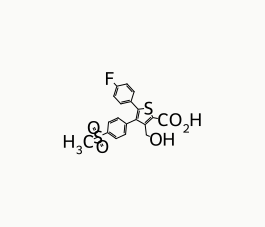 CS(=O)(=O)c1ccc(-c2c(-c3ccc(F)cc3)sc(C(=O)O)c2CO)cc1